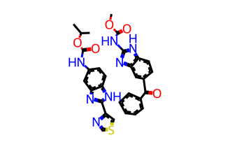 CC(C)OC(=O)Nc1ccc2[nH]c(-c3cscn3)nc2c1.COC(=O)Nc1nc2cc(C(=O)c3ccccc3)ccc2[nH]1